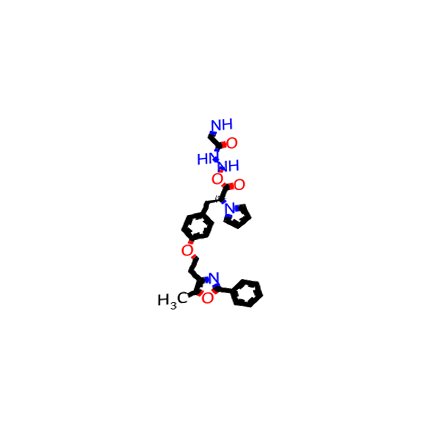 Cc1oc(-c2ccccc2)nc1CCOc1ccc(C[C@@H](C(=O)ONNC(=O)C=N)n2cccc2)cc1